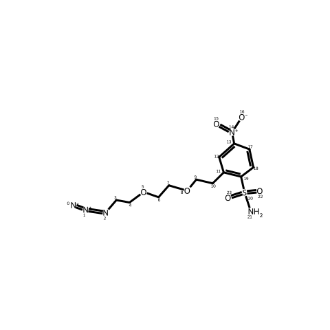 [N-]=[N+]=NCCOCCOCCc1cc([N+](=O)[O-])ccc1S(N)(=O)=O